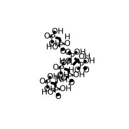 CC(O)(P(=O)(O)O)P(=O)(O)O.NC(P(=O)(O)O)P(=O)(O)O.O=P(O)(O)CP(=O)(O)O.O=P(O)(O)CP(=O)(O)O